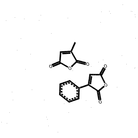 CC1=CC(=O)OC1=O.O=C1C=C(c2ccccc2)C(=O)O1